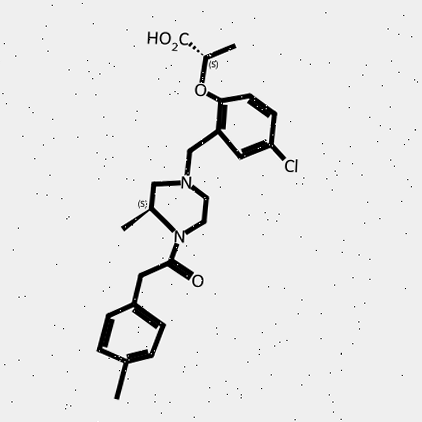 Cc1ccc(CC(=O)N2CCN(Cc3cc(Cl)ccc3O[C@@H](C)C(=O)O)C[C@@H]2C)cc1